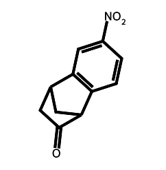 O=C1CC2CC1c1ccc([N+](=O)[O-])cc12